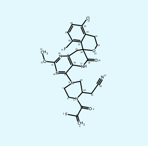 C=C(F)C(=O)N1CCN(c2nc(OC)nc3c2NC(=O)C2(C3)OCCc3c(Cl)ccc(F)c32)CC1CC#N